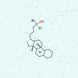 CC[C@](O)(CC[C@@H](C)[C@H]1CC[C@H]2[C@@H]3CCC4CCCC[C@]4(C)[C@H]3CC[C@]12C)C(C)C